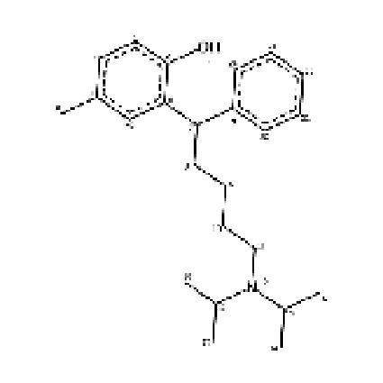 Cc1ccc(O)c(C(CCCCN(C(C)C)C(C)C)c2ccccc2)c1